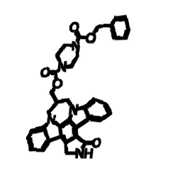 O=C1NCc2c1c1c3ccccc3n3c1c1c2c2ccccc2n1CC(COC(=O)N1CCN(C(=O)OCc2ccccc2)CC1)C3